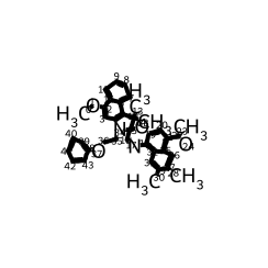 COc1cc2c(c3ccccc13)C(C)(C)C1(C=Nc3c(cc(C(C)=O)c4cc(C)c(C)cc34)O1)N2CCOc1ccccc1